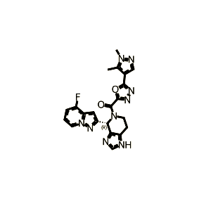 Cc1c(-c2nnc(C(=O)N3CCc4[nH]cnc4[C@@H]3c3cc4c(F)cccn4n3)o2)cnn1C